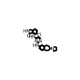 O=C1NCc2cccc(Nc3nc(Nc4ccc5c(c4)CC[C@@H](N4CCCC4)CC5)ncc3Cl)c21